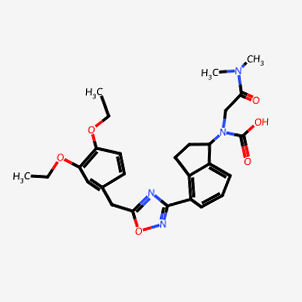 CCOc1ccc(Cc2nc(-c3cccc4c3CCC4N(CC(=O)N(C)C)C(=O)O)no2)cc1OCC